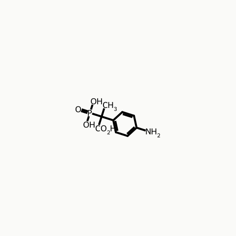 CC(C(=O)O)(c1ccc(N)cc1)P(=O)(O)O